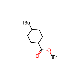 CC(C)OC(=O)C1CCC(C(C)(C)C)CC1